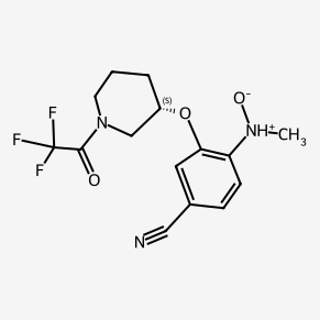 C[NH+]([O-])c1ccc(C#N)cc1O[C@H]1CCCN(C(=O)C(F)(F)F)C1